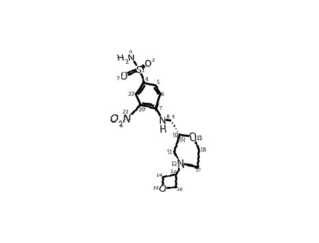 NS(=O)(=O)c1ccc(NC[C@H]2CN(C3COC3)CCO2)c([N+](=O)[O-])c1